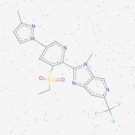 CCS(=O)(=O)c1cc(-n2ccc(C)n2)cnc1-c1nc2cc(C(F)(F)F)ncc2n1C